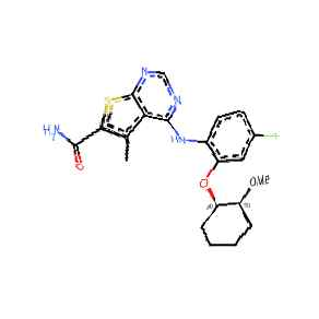 CO[C@H]1CCCC[C@H]1Oc1cc(F)ccc1Nc1ncnc2sc(C(N)=O)c(C)c12